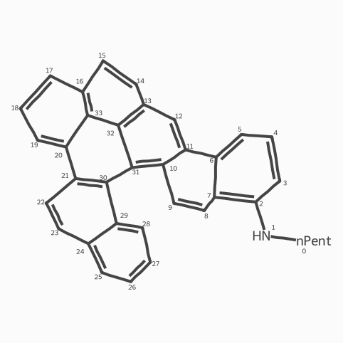 CCCCCNc1cccc2c1ccc1c2cc2ccc3cccc4c5ccc6ccccc6c5c1c2c34